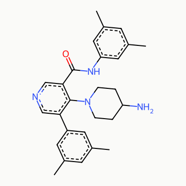 Cc1cc(C)cc(NC(=O)c2cncc(-c3cc(C)cc(C)c3)c2N2CCC(N)CC2)c1